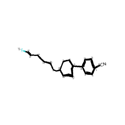 N#Cc1ccc(C2CCC(CCCCC=CF)CC2)cc1